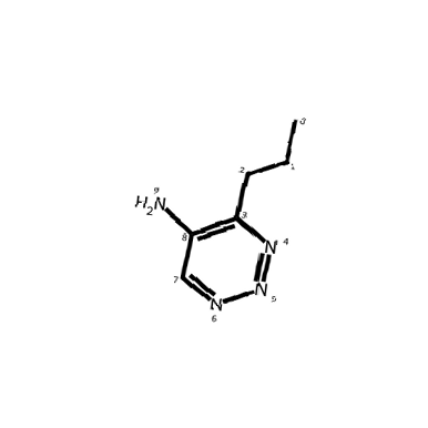 CCCc1nnncc1N